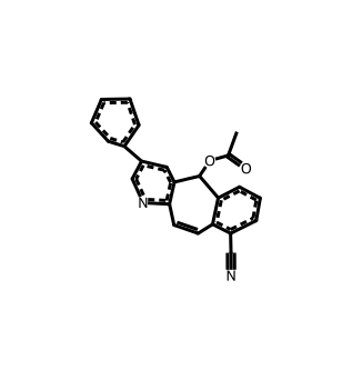 CC(=O)OC1c2cc(-c3ccccc3)cnc2C=Cc2c(C#N)cccc21